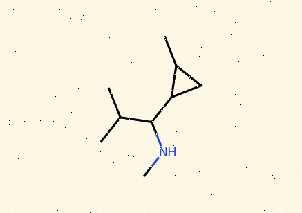 CNC(C(C)C)C1CC1C